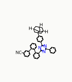 N#Cc1cccc(-c2ccccc2-c2ccccc2-c2nc(-c3ccccc3)nc(-c3ccc(C45C[C@H]6C[C@H](C4)C[C@@H](C5)C6)cc3)n2)c1